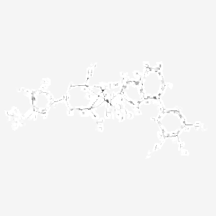 Cc1cc(N2C[C@@H]3CC(C)[C@H](C2)[C@H]3Nc2nc3c(-c4cc(F)c(F)c(F)c4)cccn3n2)sn1